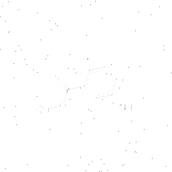 Cc1ccc(N)cc1C(=S)OC(C)(C)C